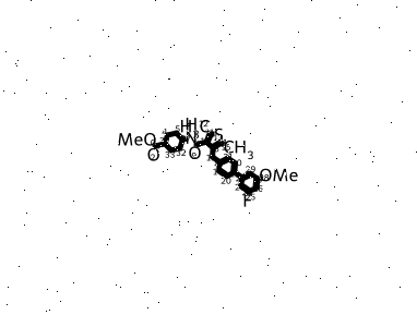 COC(=O)C1CCC(NC(=O)c2c(C)sc(C)c2Cc2ccc(-c3cc(F)cc(OC)c3)cc2)CC1